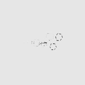 CN1CCC(CSc2cccc(-c3ccccc3)c2C2(C(N)=O)CCCCC2)CC1